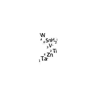 [SnH2].[Ta].[Ti].[V].[W].[Zn]